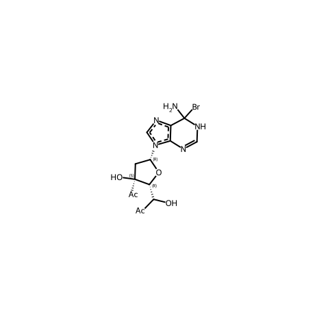 CC(=O)C(O)[C@H]1O[C@@H](n2cnc3c2N=CNC3(N)Br)C[C@@]1(O)C(C)=O